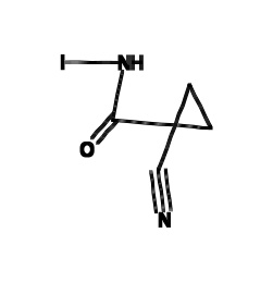 N#CC1(C(=O)NI)CC1